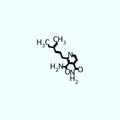 CC=C(C=CCc1nccc(C(N)=O)c1C(N)=O)CC